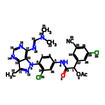 CC(=O)OC(C(=O)Nc1ccc(-n2nc(C)c3ncnc(N=CN(C)C)c32)c(Cl)c1)c1cc(Cl)cc(C#N)c1